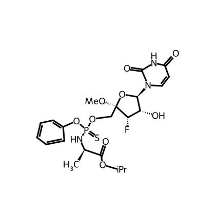 CO[C@]1(COP(=S)(N[C@H](C)C(=O)OC(C)C)Oc2ccccc2)O[C@@H](n2ccc(=O)[nH]c2=O)[C@H](O)[C@@H]1F